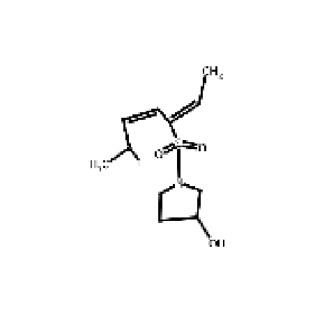 C/C=C(\C=C/C(C)I)S(=O)(=O)N1CCC(O)C1